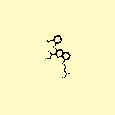 CCC(=O)c1nc2c(OCC[S+](C)[O-])cccc2cc1Nc1ccccc1C